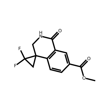 COC(=O)c1ccc2c(c1)C(=O)NCC21CC1(F)F